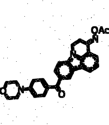 CC(=O)O/N=C1\CCn2c3ccc(C(=O)C4=CCC(N5CCOCC5)=CC4)cc3c3cccc1c32